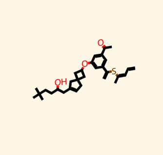 C=C/C=C(/C)SC(=C)c1cc(OC2CC3(CC=C(CC(O)CCC(C)(C)C)C3)C2)cc(C(C)=O)c1